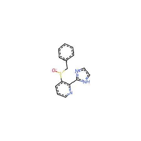 [O-][S+](Cc1ccccc1)c1cccnc1-c1ncc[nH]1